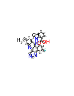 Cc1cc(C(C)Nc2ccccc2C(=O)O)c2cc(-c3ccc(F)cc3)c(-c3cncnc3)nc2c1